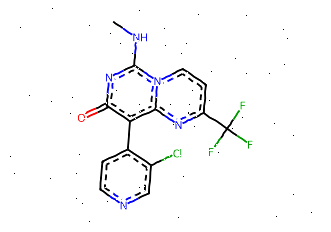 CNc1nc(=O)c(-c2ccncc2Cl)c2nc(C(F)(F)F)ccn12